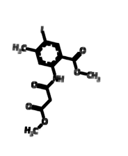 COC(=O)CC(=O)Nc1cc(C)c(I)cc1C(=O)OC